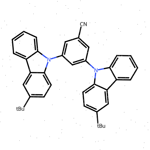 CC(C)(C)c1ccc2c(c1)c1ccccc1n2-c1cc(C#N)cc(-n2c3ccccc3c3cc(C(C)(C)C)ccc32)c1